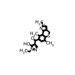 CCn1ncc(C(=O)c2cc(C)c3c(c2C)-c2nn(C)cc2CS3)c1O